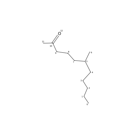 CCCCCC(C)CCCC(C)=O